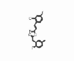 Cc1ccc(F)c(Cc2nnc(/C=C/c3ccc(F)cc3Cl)o2)c1